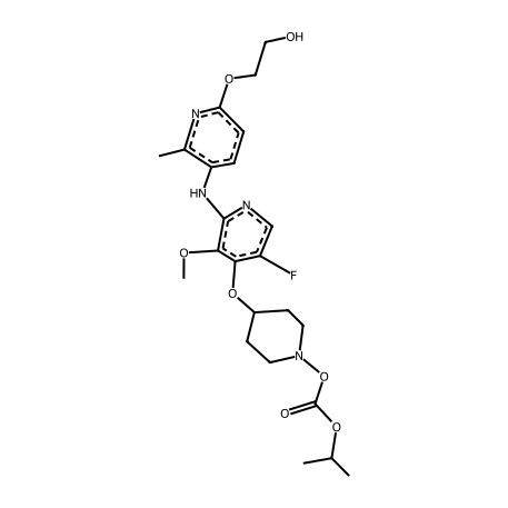 COc1c(Nc2ccc(OCCO)nc2C)ncc(F)c1OC1CCN(OC(=O)OC(C)C)CC1